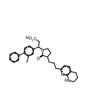 O=C(O)CC(c1ccc(-c2ccccc2)c(F)c1)N1CCC(CCCc2ccc3c(n2)NCCC3)C1=O